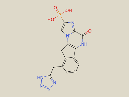 O=c1[nH]c2c(n3cc(P(=O)(O)O)nc13)Cc1c(Cc3nnn[nH]3)cccc1-2